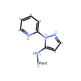 CCCCCNc1ccnn1-c1ccccn1